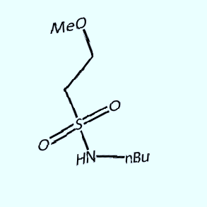 CCCCNS(=O)(=O)CCOC